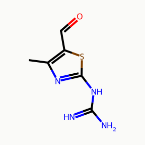 Cc1nc(NC(=N)N)sc1C=O